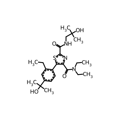 CCc1cc(C(C)(C)O)ccc1-c1sc(C(=O)NCC(C)(C)O)nc1C(=O)N(CC)CC